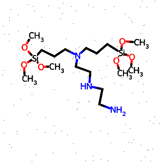 CO[Si](CCCN(CCC[Si](OC)(OC)OC)CCNCCN)(OC)OC